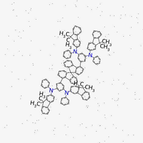 CC1(C)c2ccccc2-c2cc(N(c3ccccc3)c3cc(-c4cccc5c4-c4ccccc4C54c5ccccc5-c5c(-c6cc(N(c7ccccc7)c7ccc8c(c7)C(C)(C)c7ccccc7-8)cc(N(c7ccccc7)c7ccc8c(c7)C(C)(C)c7ccccc7-8)c6)cccc54)cc(N(c4ccccc4)c4ccc5c(c4)C(C)(C)c4ccccc4-5)c3)ccc21